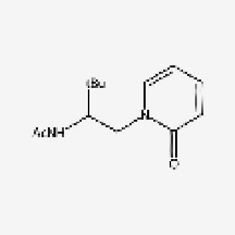 CC(=O)NC(Cn1ccccc1=O)C(C)(C)C